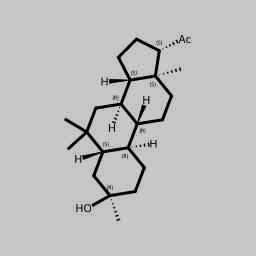 CC(=O)[C@H]1CC[C@H]2[C@@H]3CC(C)(C)[C@H]4C[C@](C)(O)CC[C@@H]4[C@H]3CC[C@]12C